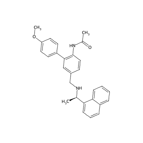 COc1ccc(-c2cc(CN[C@H](C)c3cccc4ccccc34)ccc2NC(C)=O)cc1